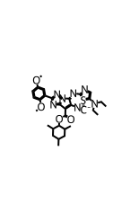 [C-]#[N+]C1=C(C(=O)OC2C(C)CC(C)CC2C)c2nc(-c3cc(OC)ccc3OC)nn2/C1=N/c1ncc(N(CC)CC)s1